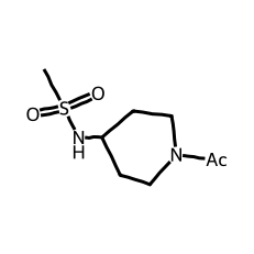 CC(=O)N1CCC(NS(C)(=O)=O)CC1